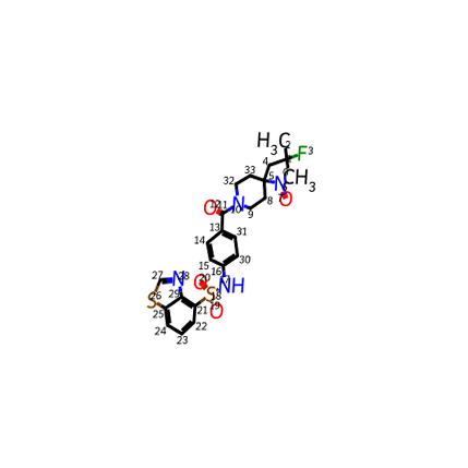 CC(C)(F)CC1(N=O)CCN(C(=O)c2ccc(NS(=O)(=O)c3cccc4scnc34)cc2)CC1